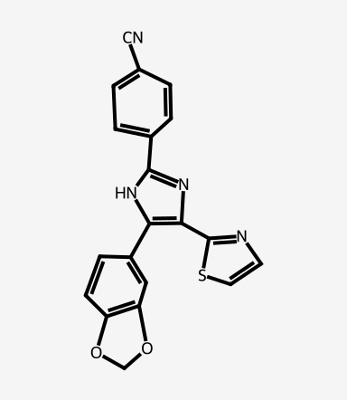 N#Cc1ccc(-c2nc(-c3nccs3)c(-c3ccc4c(c3)OCO4)[nH]2)cc1